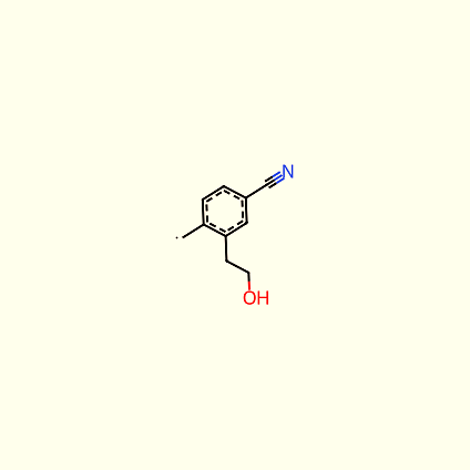 [CH2]c1ccc(C#N)cc1CCO